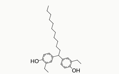 CCCCCCCCCCCC(c1ccc(O)c(CC)c1)c1ccc(O)c(CC)c1